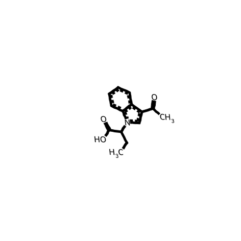 CCC(C(=O)O)n1cc(C(C)=O)c2ccccc21